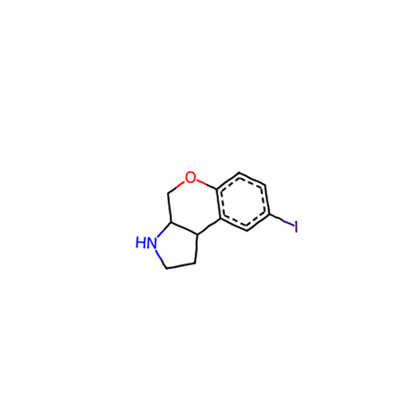 Ic1ccc2c(c1)C1CCNC1CO2